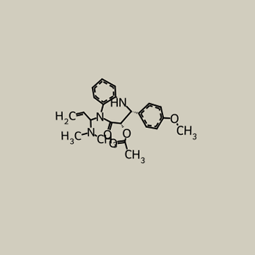 C=CC(N(C)C)N1C(=O)[C@@H](OC(C)=O)[C@@H](c2ccc(OC)cc2)Nc2ccccc21